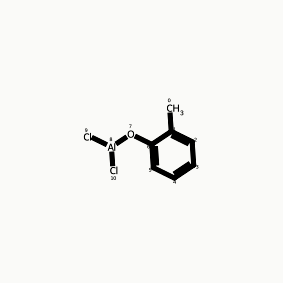 Cc1ccccc1[O][Al]([Cl])[Cl]